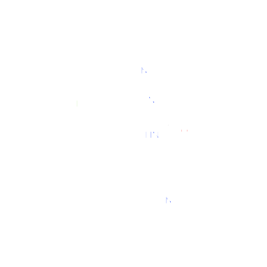 Cn1ccc2cc(NC(=O)c3cc4cccnc4n3Cc3cccc(F)c3)ccc21